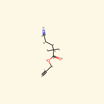 C#CCOC(=O)C(C)(C)CCC#N